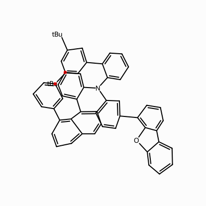 CC(C)(C)c1cc(-c2ccccc2N(c2cccc(-c3cccc4c3oc3ccccc34)c2)c2ccccc2-c2cccc3cccc(-c4ccccc4)c23)cc(C(C)(C)C)c1